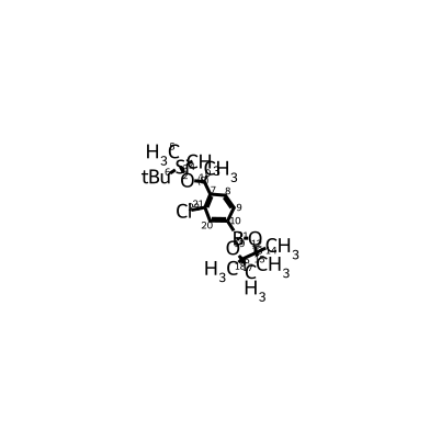 C[C@H](O[Si](C)(C)C(C)(C)C)c1ccc(B2OC(C)(C)C(C)(C)O2)cc1Cl